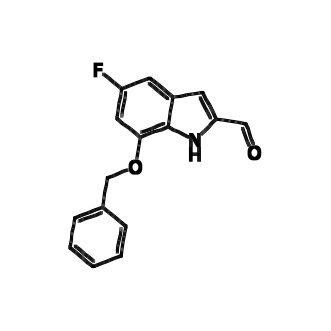 O=Cc1cc2cc(F)cc(OCc3ccccc3)c2[nH]1